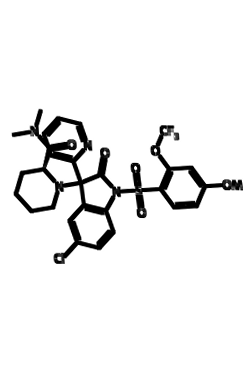 COc1ccc(S(=O)(=O)N2C(=O)C(c3ccccn3)(N3CCCC[C@H]3C(=O)N(C)C)c3cc(Cl)ccc32)c(OC(F)(F)F)c1